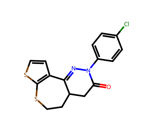 O=C1CC2CCSc3sccc3C2=NN1c1ccc(Cl)cc1